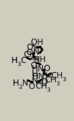 CC[C@H](C)[C@H](NC(=O)[C@H](C)NC(=O)CN)C(=O)NCC(=O)N[C@@H](CC(C)C)C(=O)N1CCC[C@H]1C(=O)O